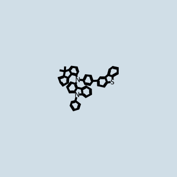 CC1(C)c2ccccc2-c2c(N(c3ccc(-c4ccc5sc6ccccc6c5c4)cc3)c3cccc4c3c3ccccc3n4-c3ccccc3)cccc21